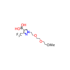 COCCOCCOCCn1cc(B(O)O)c(C(F)(F)F)n1